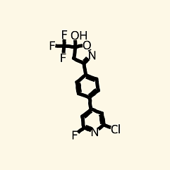 OC1(C(F)(F)F)CC(c2ccc(-c3cc(F)nc(Cl)c3)cc2)=NO1